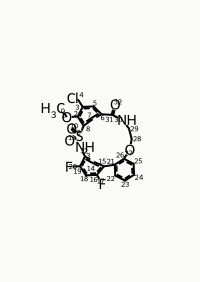 COc1c(Cl)cc2cc1S(=O)(=O)Nc1cc(c(F)cc1F)-c1ccccc1OCCNC2=O